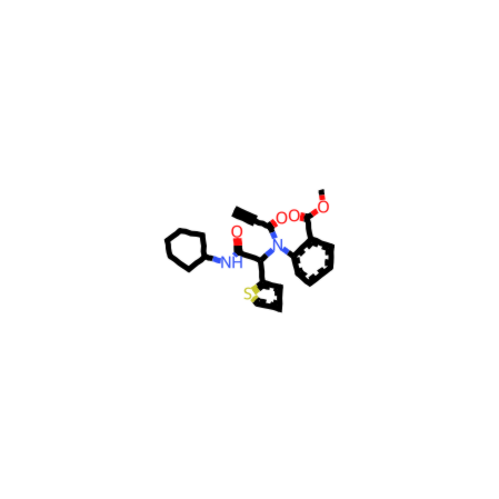 C#CC(=O)N(c1ccccc1C(=O)OC)C(C(=O)NC1CCCCC1)c1cccs1